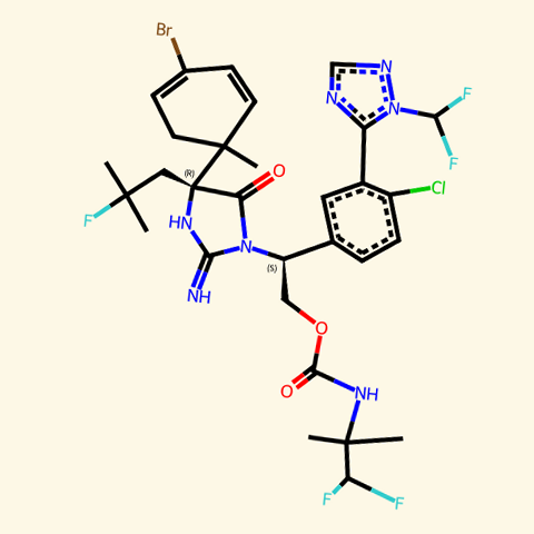 CC(C)(F)C[C@]1(C2(C)C=CC(Br)=CC2)NC(=N)N([C@H](COC(=O)NC(C)(C)C(F)F)c2ccc(Cl)c(-c3ncnn3C(F)F)c2)C1=O